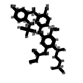 C=CC(=O)Nc1cc(Nc2ncc(Cl)c(Nc3cc(F)ccc3NS(C)(=O)=O)n2)c(OC)cc1N(C)CCN(C)C